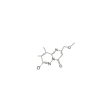 COCc1cc(=O)n2nc(Cl)c(C)c(C)c2n1